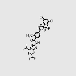 Cc1cc(C2=NOC(c3cc(Cl)cc(Cl)c3)(C(F)(F)F)C2)ccc1C(=O)Nc1nc(CC(F)C(F)F)n(CC(F)F)n1